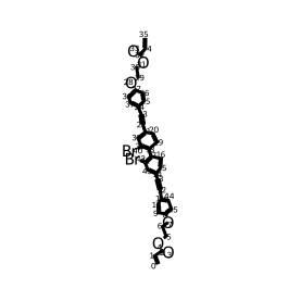 C=CC(=O)OCCOc1ccc(C#Cc2ccc(-c3ccc(C#Cc4ccc(OCCOC(=O)C=C)cc4)cc3Br)c(Br)c2)cc1